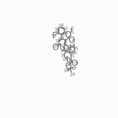 CCOC(=O)c1cn(C[C@]2(O)CCN(C(=O)OC(C)(C)C)CC23CCCC3)c(=O)cc1-c1ccccc1F